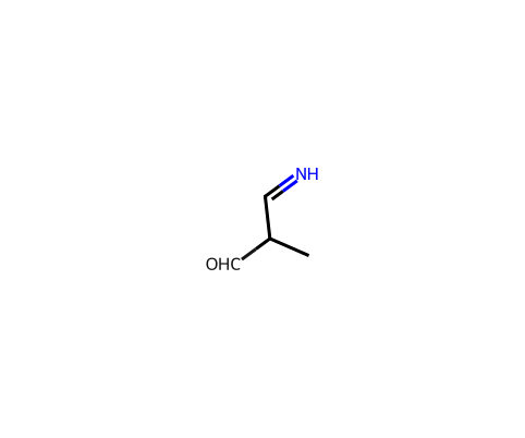 CC(C=N)C=O